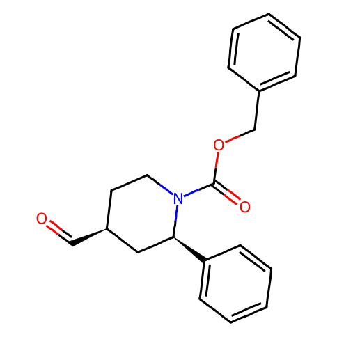 O=C[C@H]1CCN(C(=O)OCc2ccccc2)[C@@H](c2ccccc2)C1